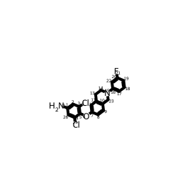 Nc1cc(Cl)c(Oc2ccc3c(c2)CCN(c2cccc(F)c2)C3)c(Cl)c1